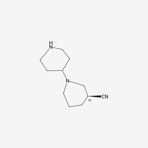 N#C[C@H]1CCCN(C2CCNCC2)C1